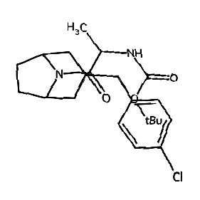 CC(NC(=O)OC(C)(C)C)C(=O)N1C2CCC1CC(Cc1ccc(Cl)cc1)C2